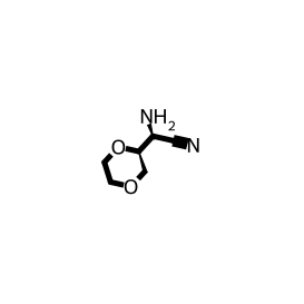 N#C[C@H](N)[C@H]1COCCO1